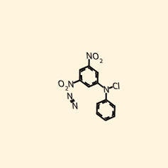 N#N.O=[N+]([O-])c1cc(N(Cl)c2ccccc2)cc([N+](=O)[O-])c1